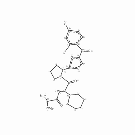 CN[C@@H](C)C(=O)NC(C(=O)N1CCC[C@H]1c1nc(C(=O)c2ccc(F)cc2F)cs1)C1CCCCC1